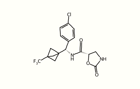 O=C1NC[C@@H](C(=O)N[C@@H](c2ccc(Cl)cc2)C23CC(C(F)(F)F)(C2)C3)O1